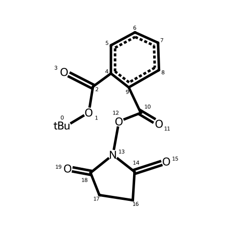 CC(C)(C)OC(=O)c1ccccc1C(=O)ON1C(=O)CCC1=O